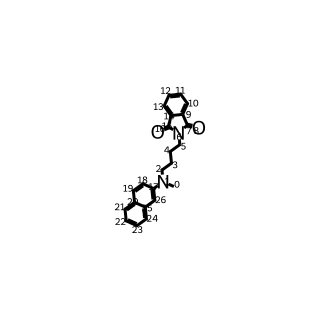 CN(CCCCN1C(=O)c2ccccc2C1=O)c1ccc2ccccc2c1